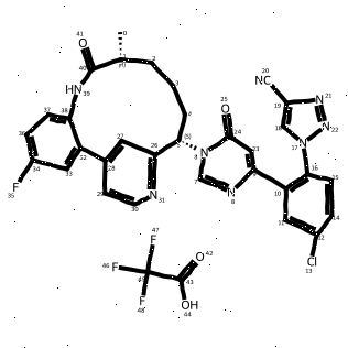 C[C@@H]1CCC[C@H](n2cnc(-c3cc(Cl)ccc3-n3cc(C#N)nn3)cc2=O)c2cc(ccn2)-c2cc(F)ccc2NC1=O.O=C(O)C(F)(F)F